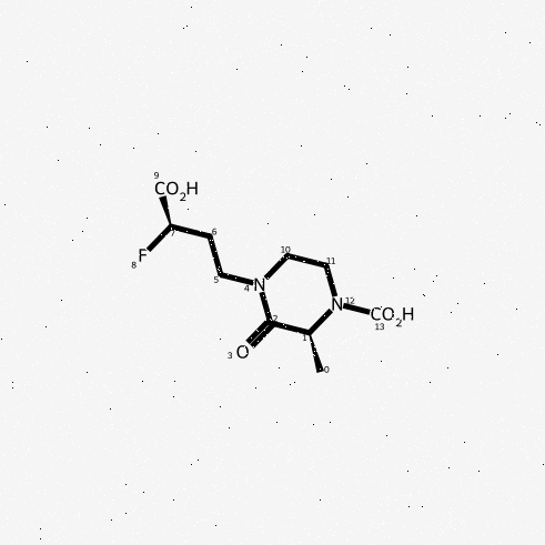 C[C@H]1C(=O)N(CC[C@@H](F)C(=O)O)CCN1C(=O)O